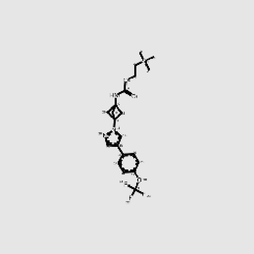 C[Si](C)(C)CCOC(=O)NC12CC(n3cc(-c4ccc(OC(F)(F)F)cc4)cn3)(C1)C2